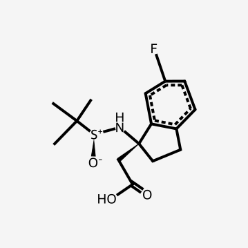 CC(C)(C)[S@+]([O-])N[C@@]1(CC(=O)O)CCc2ccc(F)cc21